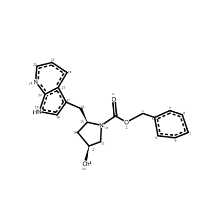 O=C(OCc1ccccc1)N1C[C@@H](O)C[C@H]1Cc1c[nH]c2ncccc12